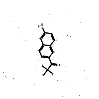 CC(C)(C)C(=O)c1ccc2cc(O)ccc2c1